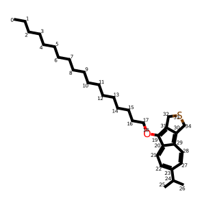 CCCCCCCCCCCCCCCCCCOc1c2ccc(C(C)C)ccc-2c2c1CSC2